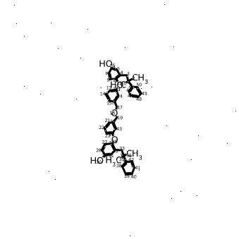 CC(C)(Cc1cc(O)ccc1Oc1cccc(COCc2cccc(Oc3ccc(O)cc3CC(C)(C)c3ccccc3)c2)c1)c1ccccc1